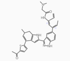 C=C/C(=C\C(=C/C)c1ccc2[nH]nc(-c3cc4c([nH]3)CC(C)C=C4c3ccc(C(C)=O)s3)c2c1)NC(=O)CN(C)C